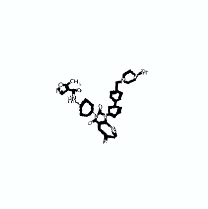 Cc1oncc1C(=O)N[C@H]1CC[C@@H](n2c(=O)c3cc(F)cnc3n(-c3cccc(-c4ccc(CN5CCN(C(C)C)CC5)cc4)c3)c2=O)CC1